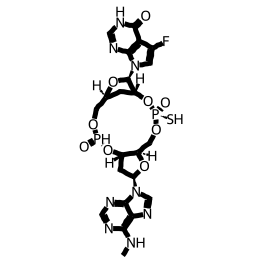 CNc1ncnc2c1ncn2[C@H]1C[C@@H]2O[PH](=O)OC[C@@H]3C[C@@H](O[P@](=O)(S)OC[C@H]2O1)[C@H](n1cc(F)c2c(=O)[nH]cnc21)O3